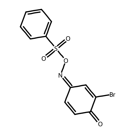 O=C1C=CC(=NOS(=O)(=O)c2ccccc2)C=C1Br